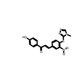 Cn1cnnc1Sc1ccc(C=CC(=O)c2ccc(O)cc2)cc1[N+](=O)[O-]